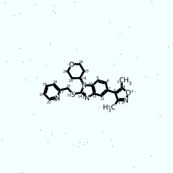 Cc1noc(C)c1-c1ccc2c(c1)nc(SCc1ccccn1)n2C1CCOCC1